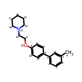 Cc1cccc(-c2ccc(OCCN3CCCCC3)cc2)c1